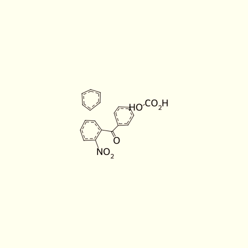 O=C(O)O.O=C(c1ccccc1)c1ccccc1[N+](=O)[O-].c1ccccc1